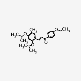 CCOc1ccc(C(=O)/C=C/c2cc(C)c(OC(C)C)cc2OC(C)C)cc1